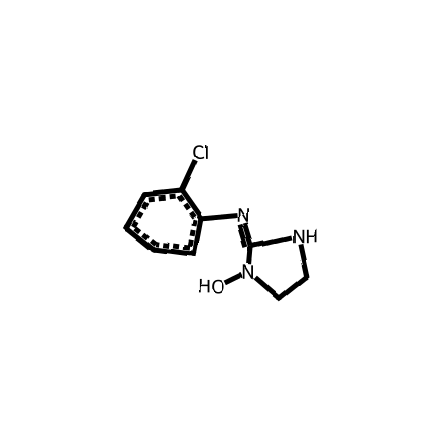 ON1CCNC1=Nc1ccccc1Cl